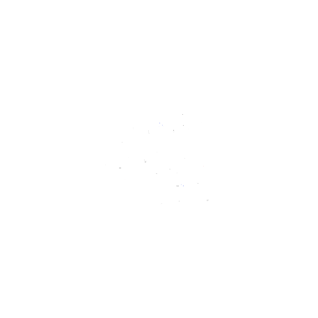 CC(=O)c1ccc2[nH]c([Si](C)(C)C)c(C[C@H]3COCCN3C(=O)O)c2c1